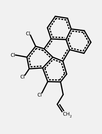 C=CCc1cc2c3cccc4cccc(c5c(Cl)c(Cl)c(Cl)c(c1Cl)c25)c43